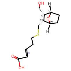 O=C(O)/C=C/CCSC[C@@H]1[C@H](CO)[C@@H]2CC[C@H]1O2